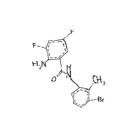 Cc1c(Br)cccc1NC(=O)c1cc(F)cc(F)c1N